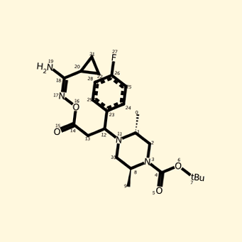 C[C@@H]1CN(C(=O)OC(C)(C)C)[C@@H](C)CN1C(CC(=O)O/N=C(/N)C1CC1)c1ccc(F)cc1